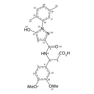 COc1ccc(C(CC(=O)O)NC(=O)c2cc(O)n(-c3cc(C)ccc3C)n2)cc1OC